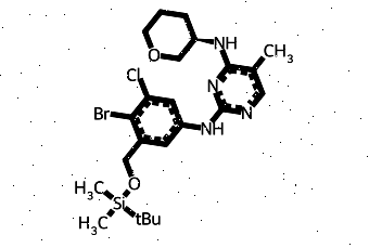 Cc1cnc(Nc2cc(Cl)c(Br)c(CO[Si](C)(C)C(C)(C)C)c2)nc1N[C@@H]1CCCOC1